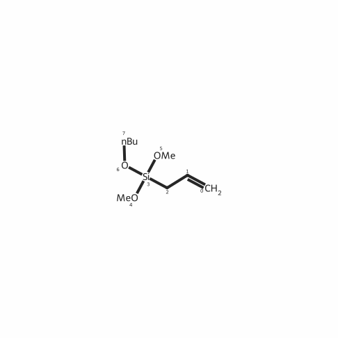 C=CC[Si](OC)(OC)OCCCC